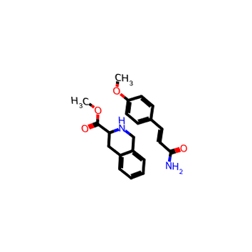 COC(=O)C1Cc2ccccc2CN1.COc1ccc(C=CC(N)=O)cc1